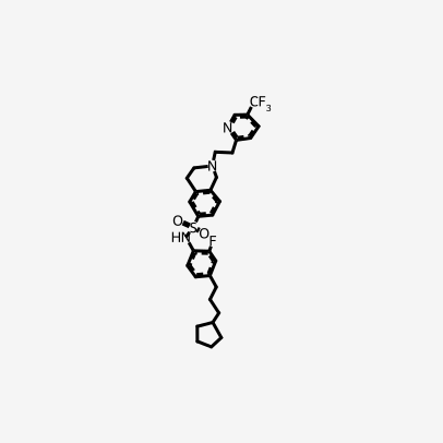 O=S(=O)(Nc1ccc(CCCC2CCCC2)cc1F)c1ccc2c(c1)CCN(CCc1ccc(C(F)(F)F)cn1)C2